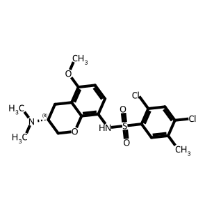 COc1ccc(NS(=O)(=O)c2cc(C)c(Cl)cc2Cl)c2c1C[C@@H](N(C)C)CO2